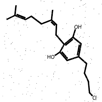 CC(C)=CCCC(C)=CCc1c(O)cc(CCCCCl)cc1O